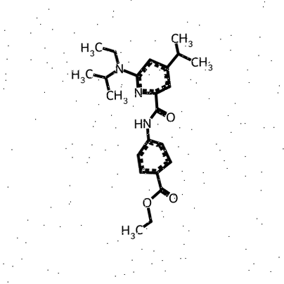 CCOC(=O)c1ccc(NC(=O)c2cc(C(C)C)cc(N(CC)C(C)C)n2)cc1